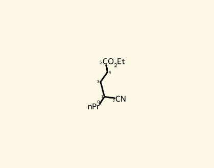 CCCC(C#N)CCC(=O)OCC